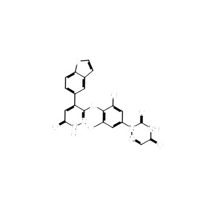 O=c1cc(-c2ccc3sccc3c2)c(Oc2c(Cl)cc(-n3ncc(=O)[nH]c3=O)cc2Cl)n[nH]1